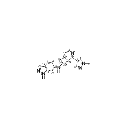 Cn1cc(-c2nccn3nc(Nc4ccc5cn[nH]c5c4)nc23)cn1